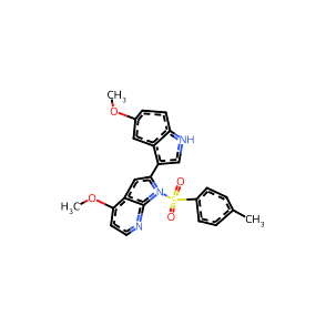 COc1ccc2[nH]cc(-c3cc4c(OC)ccnc4n3S(=O)(=O)c3ccc(C)cc3)c2c1